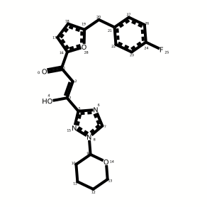 O=C(C=C(O)c1ncn(C2CCCCO2)n1)c1ccc(Cc2ccc(F)cc2)o1